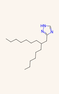 CCCCCCCC(CCCCCC)Cc1nc[nH]n1